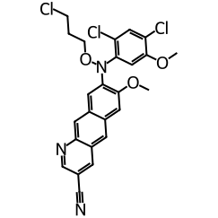 COc1cc(N(OCCCCl)c2cc3cc4ncc(C#N)cc4cc3cc2OC)c(Cl)cc1Cl